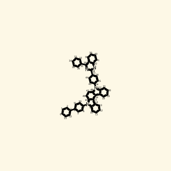 c1ccc(-c2ccc(-n3c4ccccc4c4c5c6ccccc6n(-c6ccc(-c7nc(-c8ccccc8)c8ccccc8n7)cc6)c5ccc43)cc2)cc1